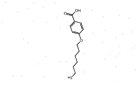 O=C(O)c1ccc(OCCCCCCS)cc1